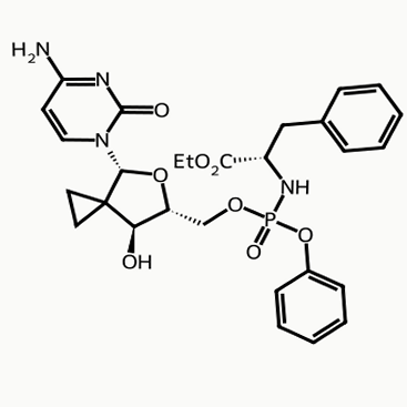 CCOC(=O)[C@H](Cc1ccccc1)NP(=O)(OC[C@H]1O[C@@H](n2ccc(N)nc2=O)C2(CC2)[C@@H]1O)Oc1ccccc1